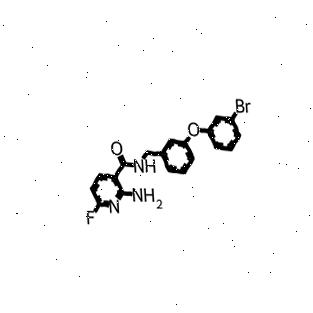 Nc1nc(F)ccc1C(=O)NCc1cccc(Oc2cccc(Br)c2)c1